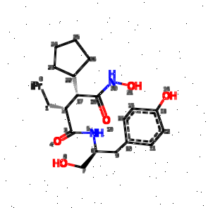 CC(C)C[C@@H](C(=O)N[C@H](CO)Cc1ccc(O)cc1)[C@@H](C(=O)NO)C1CCCC1